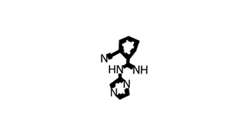 N#Cc1ccccc1C(=N)Nc1cnccn1